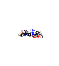 CC(C)[C@H](NC(=O)Nc1cccc(-c2ccnc3c(C(=O)c4cccs4)cnn23)c1)C(=O)O